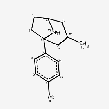 CC(=O)c1ccc(C23CCC(CC(C)C2)N3)cc1